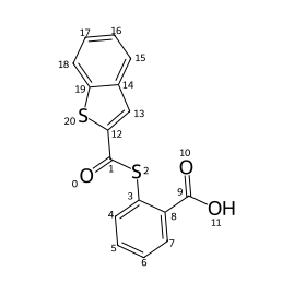 O=C(Sc1ccccc1C(=O)O)c1cc2ccccc2s1